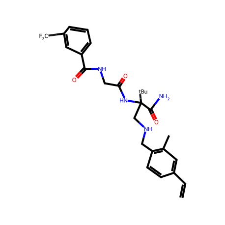 C=Cc1ccc(CNCC(NC(=O)CNC(=O)c2cccc(C(F)(F)F)c2)(C(N)=O)C(C)(C)C)c(C)c1